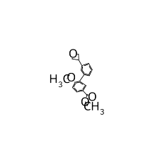 COC(=O)c1ccc(OC)c(-c2cccc(C3COC3)c2)c1